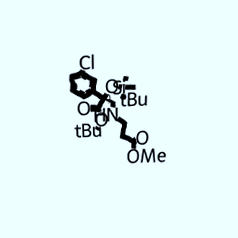 COC(=O)CCNC[C@@](O[Si](C)(C)C(C)(C)C)(C(=O)OC(C)(C)C)c1cccc(Cl)c1